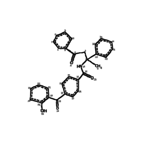 CC(CC(=O)c1ccccc1)(NC(=O)c1ccc(C(=O)c2ccccc2O)cc1)c1ccccc1